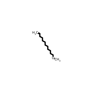 C=CCCCCCCCCCCOC